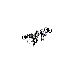 C[C@H](/C=C/S(C)(=O)=O)NC(=O)c1cnc(N2CCN(C3COC3)C[C@@H]2c2cccc(F)c2Cl)cn1